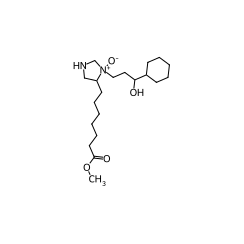 COC(=O)CCCCCCC1CNC[N+]1([O-])CCC(O)C1CCCCC1